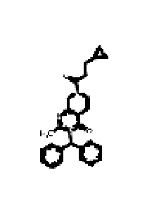 Cc1nc2c(c(=O)n1C(c1ccccc1)c1ccccc1)CCN(C(=O)CCC1CC1)C2